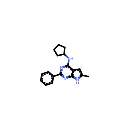 Cc1cc2c(NC3CCCC3)nc(-c3ccccc3)nc2[nH]1